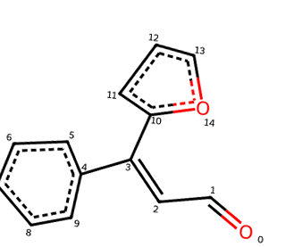 O=CC=C(c1ccccc1)c1ccco1